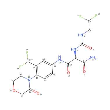 NC(=O)[C@H](NC(=O)NCC(F)F)C(=O)Nc1ccc(N2CCOCC2=O)c(C(F)F)c1